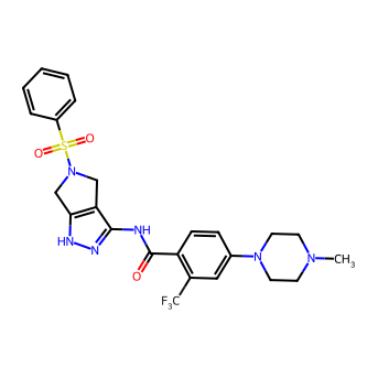 CN1CCN(c2ccc(C(=O)Nc3n[nH]c4c3CN(S(=O)(=O)c3ccccc3)C4)c(C(F)(F)F)c2)CC1